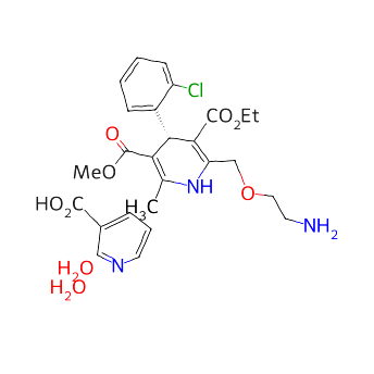 CCOC(=O)C1=C(COCCN)NC(C)=C(C(=O)OC)[C@@H]1c1ccccc1Cl.O.O.O=C(O)c1cccnc1